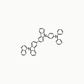 c1ccc(N(c2ccccc2)c2ccc(-n3c4ccccc4c4cc(-c5ccc6c(c5)c5ccccc5n6-c5cccc6ccccc56)ccc43)cc2)cc1